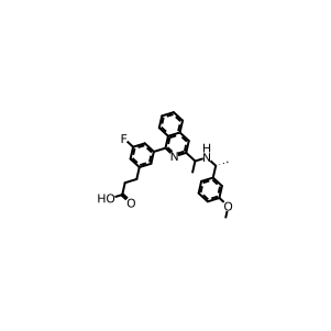 COc1cccc([C@@H](C)NC(C)c2cc3ccccc3c(-c3cc(F)cc(CCC(=O)O)c3)n2)c1